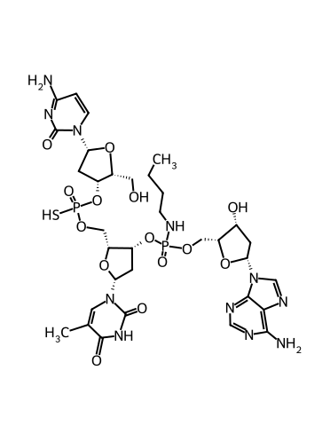 CCCCNP(=O)(OC[C@H]1O[C@@H](n2cnc3c(N)ncnc32)C[C@H]1O)O[C@@H]1C[C@H](n2cc(C)c(=O)[nH]c2=O)O[C@@H]1COP(=O)(S)O[C@@H]1C[C@H](n2ccc(N)nc2=O)O[C@@H]1CO